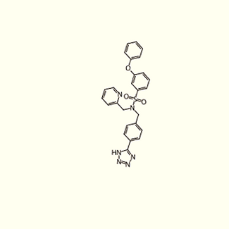 O=S(=O)(c1cccc(Oc2ccccc2)c1)N(Cc1ccc(-c2nnn[nH]2)cc1)Cc1ccccn1